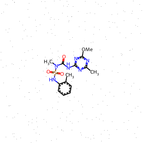 COc1nc(C)nc(NC(=O)N(C)S(=O)(=O)Nc2ccccc2C)n1